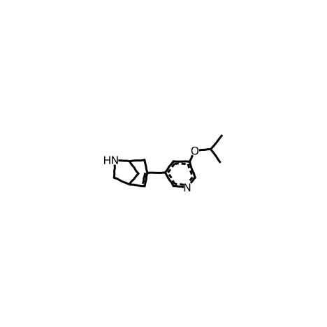 CC(C)Oc1cncc(C2=CC3CNC(C2)C3)c1